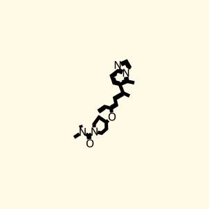 C=C/C(=C\C=C(/C)c1ccc2nccn2c1C)OC1CCN(C(=O)N(C)C)CC1